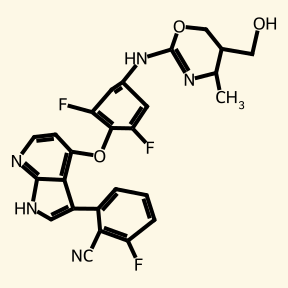 CC1N=C(Nc2cc(F)c(Oc3ccnc4[nH]cc(-c5cccc(F)c5C#N)c34)c(F)c2)OCC1CO